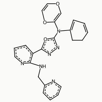 C1=CCCC(N(C2=COC=CO2)c2nnc(-c3cccnc3NCc3ccccn3)o2)=C1